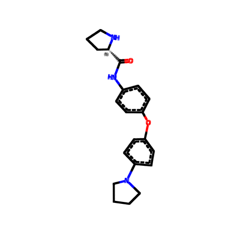 O=C(Nc1ccc(Oc2ccc(N3CCCC3)cc2)cc1)[C@@H]1CCCN1